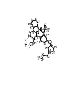 C[C@@H]1Cc2c([nH]c3ccccc23)[C@@H](c2ccc(O[C@H]3CCN(CCCF)C3)cc2OC(F)F)N1CC(F)(F)F